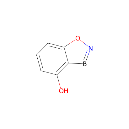 Oc1cccc2onbc12